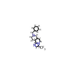 FC(F)(F)c1cnc2c3c(ccn12)CN(Cc1ccccc1)CC3